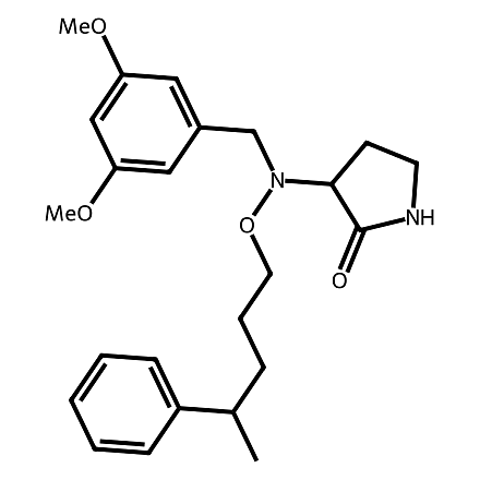 COc1cc(CN(OCCCC(C)c2ccccc2)C2CCNC2=O)cc(OC)c1